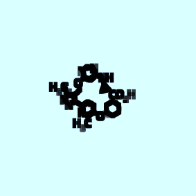 Cc1nc(-c2nnn(C)c2COc2cc(NC3CC3)ncn2)ccc1O[C@H]1CCC[C@H](C(=O)O)C1